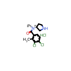 Cc1c(C(=O)N(C(C)C)[C@@H]2CCNC2)ccc(Cl)c1Cl.Cl